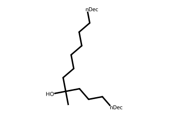 CCCCCCCCCCCCCCCCC(C)(O)CCCCCCCCCCCCC